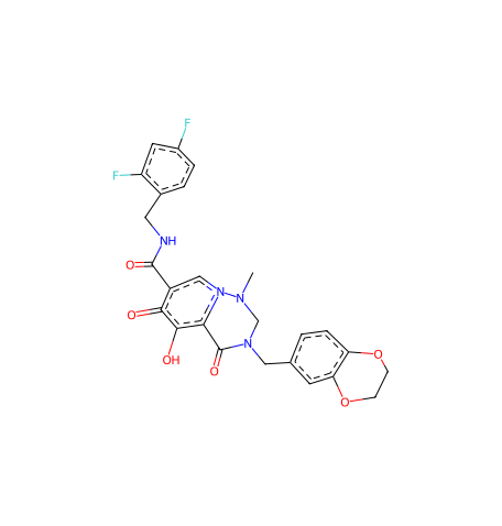 CN1CN(Cc2ccc3c(c2)OCCO3)C(=O)c2c(O)c(=O)c(C(=O)NCc3ccc(F)cc3F)cn21